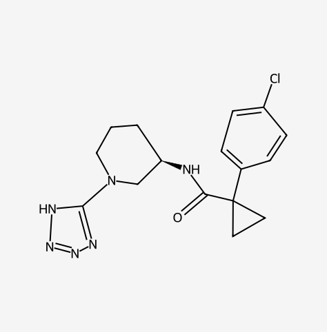 O=C(N[C@@H]1CCCN(c2nnn[nH]2)C1)C1(c2ccc(Cl)cc2)CC1